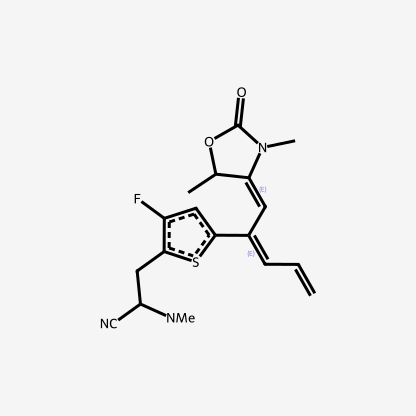 C=C/C=C(\C=C1/C(C)OC(=O)N1C)c1cc(F)c(CC(C#N)NC)s1